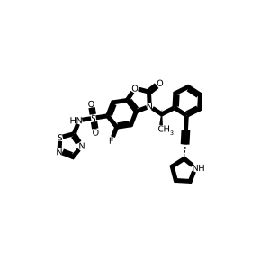 C[C@H](c1ccccc1C#C[C@H]1CCCN1)n1c(=O)oc2cc(S(=O)(=O)Nc3ncns3)c(F)cc21